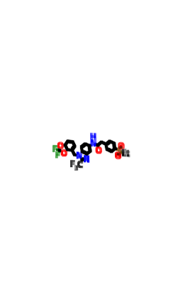 CCS(=O)(=O)c1ccc(CC(=O)Nc2ccc3c(c2)nc(C(F)(F)F)n3CC2=CC=CC3OC(F)(F)OC23)cc1